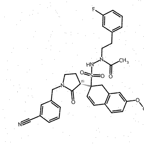 COc1ccc2c(c1)CC([C@H]1CCN(Cc3cccc(C#N)c3)C1=O)(S(=O)(=O)NN(CCc1cccc(F)c1)C(C)=O)C=C2